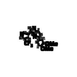 COc1ccc(-c2ccc3ncc(-c4cncc(C(F)(F)F)c4)n3n2)cc1OC